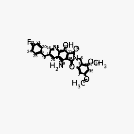 COc1ccc(CN2C(=O)c3c(c(O)c4ncc(Cc5ccc(F)cc5)cc4c3N)C2=O)c(OC)c1